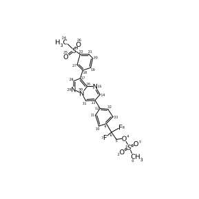 CS(=O)(=O)OCC(F)(F)c1ccc(-c2cnc3c(-c4cccc(S(C)(=O)=O)c4)cnn3c2)cc1